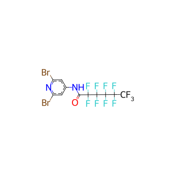 O=C(Nc1cc(Br)nc(Br)c1)C(F)(F)C(F)(F)C(F)(F)C(F)(F)C(F)(F)F